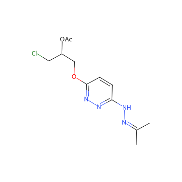 CC(=O)OC(CCl)COc1ccc(NN=C(C)C)nn1